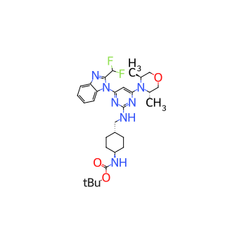 C[C@H]1COC[C@H](C)N1c1cc(-n2c(C(F)F)nc3ccccc32)nc(NC[C@H]2CC[C@H](NC(=O)OC(C)(C)C)CC2)n1